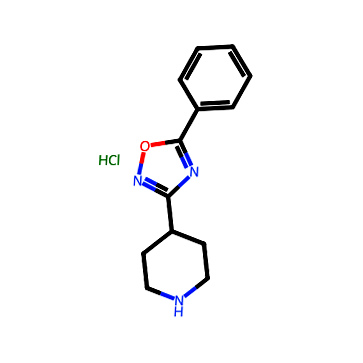 Cl.c1ccc(-c2nc(C3CCNCC3)no2)cc1